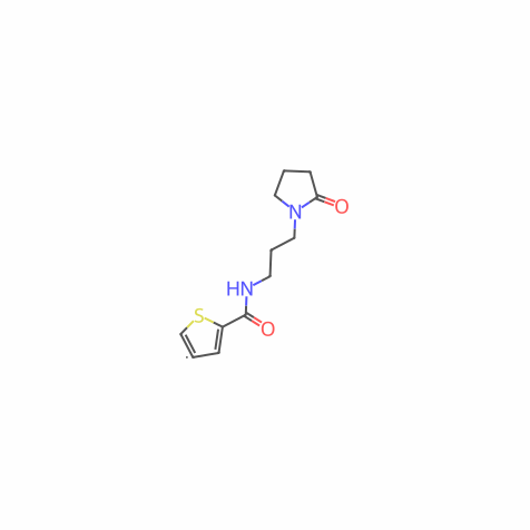 O=C(NCCCN1CCCC1=O)c1c[c]cs1